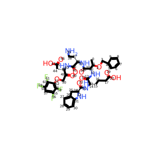 CC(OCc1ccccc1)[C@H](NC(=O)[C@H](CCCC(=O)O)NC(=O)[C@@H]1Cc2ccccc2N1)C(=O)N[C@@H](CCN)C(=O)N[C@@H](CC(=O)O)C(=O)COc1c(F)c(F)cc(F)c1F